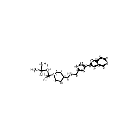 CC(C)(C)OC(=O)N1CCC(CNCc2noc(-c3cc4cnccc4o3)n2)CC1